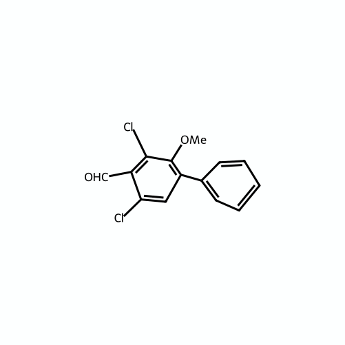 COc1c(-c2ccccc2)cc(Cl)c(C=O)c1Cl